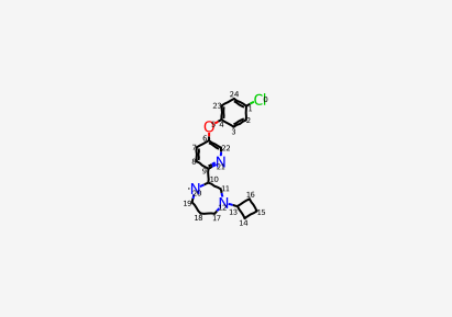 Clc1ccc(Oc2ccc(C3CN(C4CCC4)CCC[N]3)nc2)cc1